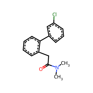 CN(C)C(=O)Cc1ccccc1-c1cccc(Cl)c1